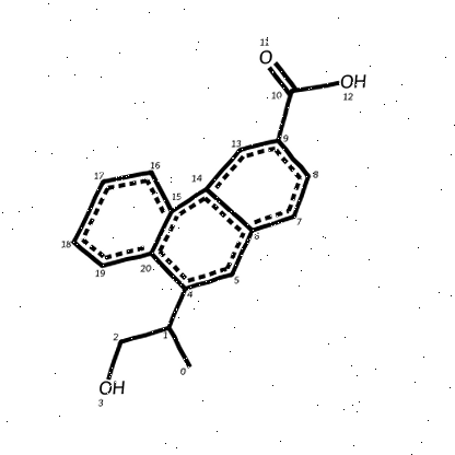 CC(CO)c1cc2ccc(C(=O)O)cc2c2ccccc12